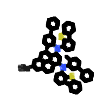 Cc1ccc(-c2ccccc2)cc1N(c1cc(N(c2cc(-c3ccccc3)ccc2C)c2cccc3c2sc2ccccc23)c2ccc3cc(C(C)(C)C)cc4ccc1c2c43)c1cccc2c1sc1ccccc12